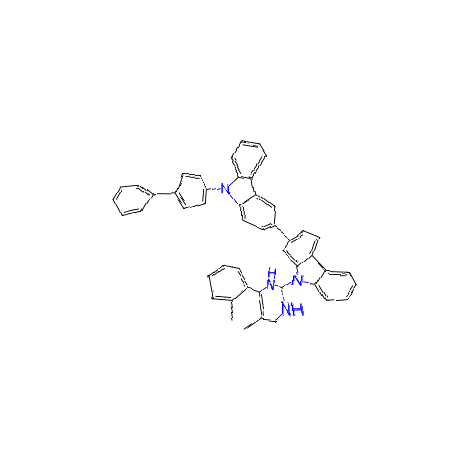 CC1=C(c2ccccc2C)NC(n2c3ccccc3c3ccc(-c4ccc5c(c4)c4ccccc4n5-c4ccc(-c5ccccc5)cc4)cc32)NC1